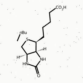 CCCCC.O=C(O)CCCC[C@@H]1SC[C@@H]2NC(=O)N[C@@H]21